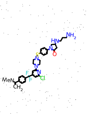 C=C(NC)c1ccc(C(F)(F)c2cc(Cl)nc(N3CCN(Sc4ccc(N5CC(NCCCN)CC5=O)cc4)CC3)c2)cc1